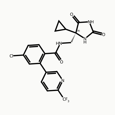 O=C1NC(=O)[C@](CNC(=O)c2ccc(Cl)cc2-c2ccc(C(F)(F)F)nc2)(C2CC2)N1